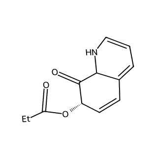 CCC(=O)O[C@H]1C=CC2=CC=CNC2C1=O